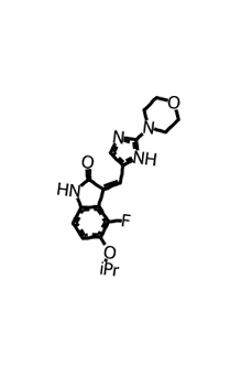 CC(C)Oc1ccc2c(c1F)/C(=C/c1cnc(N3CCOCC3)[nH]1)C(=O)N2